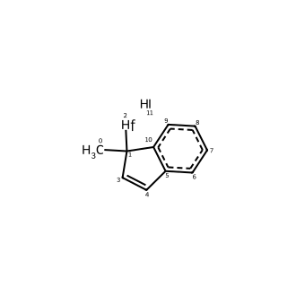 C[C]1([Hf])C=Cc2ccccc21.I